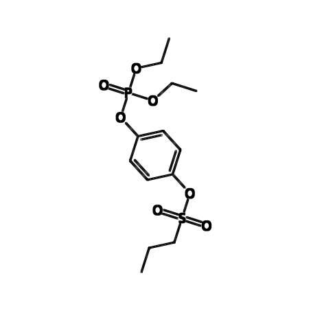 CCCS(=O)(=O)Oc1ccc(OP(=O)(OCC)OCC)cc1